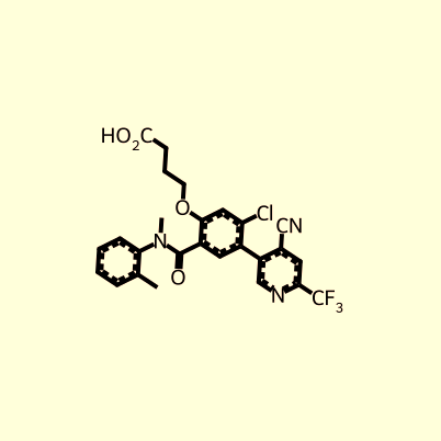 Cc1ccccc1N(C)C(=O)c1cc(-c2cnc(C(F)(F)F)cc2C#N)c(Cl)cc1OCCCC(=O)O